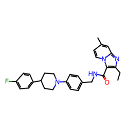 CCc1nc2cc(C)ccn2c1C(=O)NCc1ccc(N2CCC(c3ccc(F)cc3)CC2)cc1